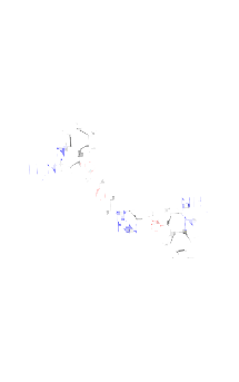 Nc1cc(OCCOCCn2cc(COc3cc(N)nc4ccccc34)nn2)c2ccccc2n1